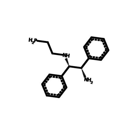 N[C@@H](c1ccccc1)[C@@H](NCCP)c1ccccc1